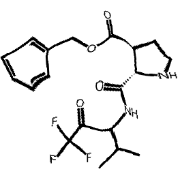 CC(C)C(NC(=O)[C@H]1NCC[C@@H]1C(=O)OCc1ccccc1)C(=O)C(F)(F)F